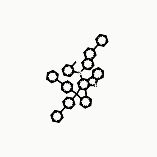 Cc1ccccc1N(c1ccc2cc(-c3ccccc3)ccc2c1)c1cc2c(c3oc4ccccc4c13)-c1ccccc1C2(c1ccc(-c2ccccc2)cc1)c1ccc(-c2ccccc2)cc1